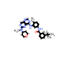 Cc1ccc(NC(=O)c2cccc(C(C)(C)C#N)c2)cc1Nc1ncnc2cnc(N(C)C3CCOCC3)nc12